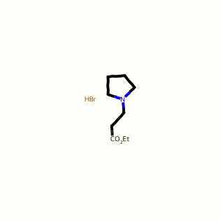 Br.CCOC(=O)CCN1CCCC1